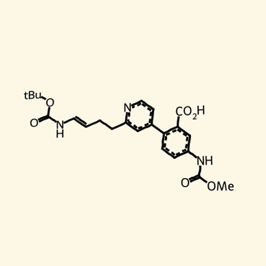 COC(=O)Nc1ccc(-c2ccnc(CCC=CNC(=O)OC(C)(C)C)c2)c(C(=O)O)c1